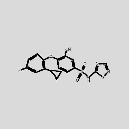 N#Cc1cc(S(=O)(=O)Nc2ncns2)ccc1Oc1ccc(F)cc1C1CC1